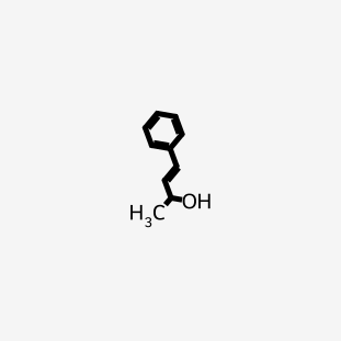 CC(O)C=Cc1ccccc1